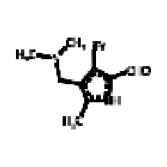 Cc1[nH]c(C=O)c(C(C)C)c1CN(C)C